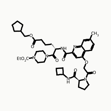 CCOC(=O)N1CCN(C(=O)[C@H](CCCC(=O)OCC2CCCC2)NC(=O)c2cc(OCC(=O)N3CCC[C@H]3C(=O)NC3CCC3)c3ccc(C)cc3n2)CC1